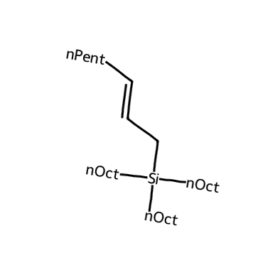 CCCCCC=CC[Si](CCCCCCCC)(CCCCCCCC)CCCCCCCC